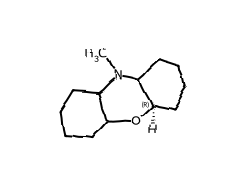 CN1C2CCCCC2O[C@@H]2CCCCC21